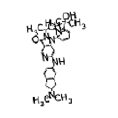 CC(C)n1c(=O)c2cnc(Nc3ccc4c(c3)CC(N(C)C)C4)cc2n1-c1cccc(C(C)(C)O)n1